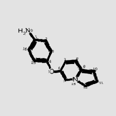 Nc1ccc(Oc2ccc3cccn3c2)cc1